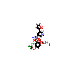 COc1ccc(OC(F)(F)F)cc1S(=O)(=O)Nc1cncc(-c2ccco2)c1